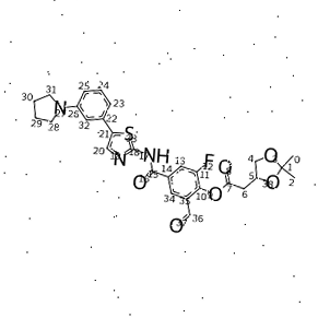 CC1(C)OCC(CC(=O)Oc2c(F)cc(C(=O)Nc3ncc(-c4cccc(N5CCCC5)c4)s3)cc2C=O)O1